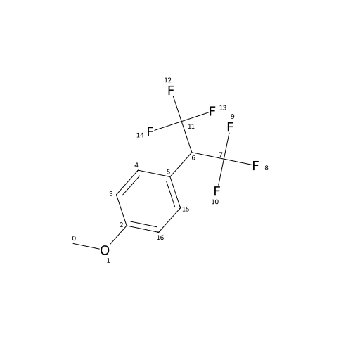 COc1ccc(C(C(F)(F)F)C(F)(F)F)cc1